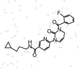 O=C(NCCCC1CC1)c1ccc(N2C=CCN(C(=O)c3ccccc3F)C2=O)nc1